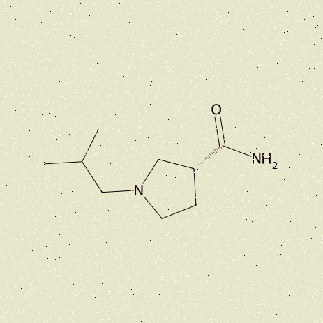 CC(C)CN1CC[C@@H](C(N)=O)C1